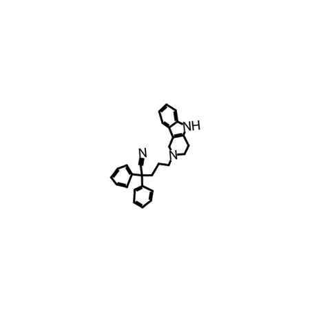 N#CC(CCCN1CCc2[nH]c3ccccc3c2C1)(c1ccccc1)c1ccccc1